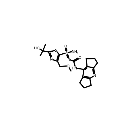 COCc1nc(C(C)(C)O)sc1S(N)(=O)=NC(=O)Nc1c2c(nc3c1CCC3)CCC2